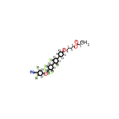 C=CC(=O)OCCCCOc1ccc(-c2cc(F)c(-c3cc(F)c(C(F)(F)Oc4cc(F)c(C#N)c(F)c4)c(F)c3)c(F)c2)cc1